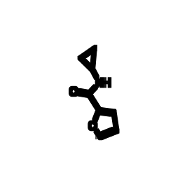 O=C(NC1CC1)c1cc[c]o1